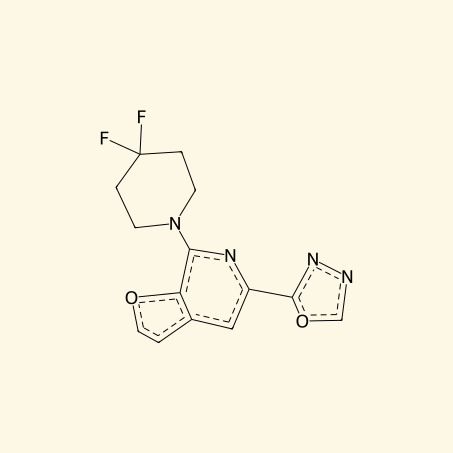 FC1(F)CCN(c2nc(-c3nnco3)cc3ccoc23)CC1